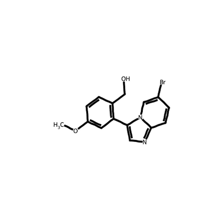 COc1ccc(CO)c(-c2cnc3ccc(Br)cn23)c1